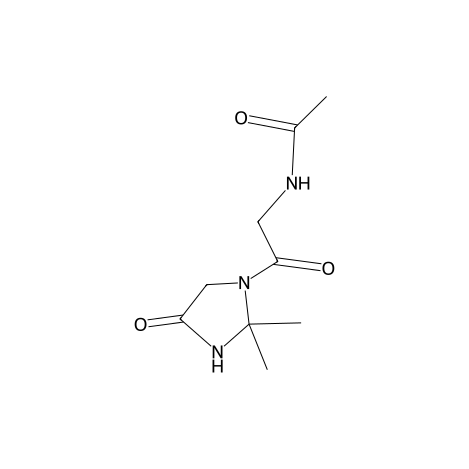 CC(=O)NCC(=O)N1CC(=O)NC1(C)C